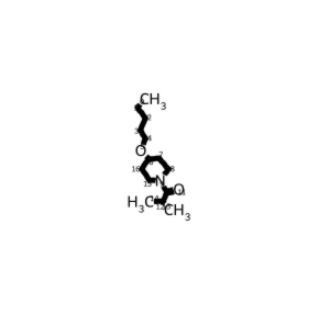 CCCCCOC1CCN(C(=O)C(C)C)CC1